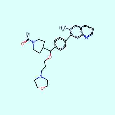 CCC(=O)N1CCC(C(OCCCN2CCOCC2)c2ccc(-c3cc4ncccc4cc3C)cc2)CC1